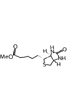 COC(=O)CCCC[C@H]1SC[C@H]2NC(=O)N[C@@H]21